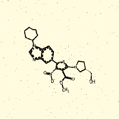 COC(=O)c1c(N2CC[C@H](CO)C2)sc(-c2ccc3c(c2)ncn3C2CCCCC2)c1[N+](=O)[O-]